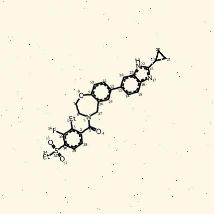 CCc1c(C(=O)N2CCOc3ccc(-c4ccc5nc(C6CC6)[nH]c5c4)cc3C2)ccc(S(=O)(=O)CC)c1F